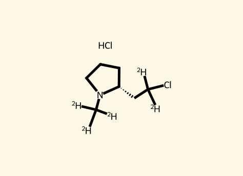 Cl.[2H]C([2H])(Cl)C[C@H]1CCCN1C([2H])([2H])[2H]